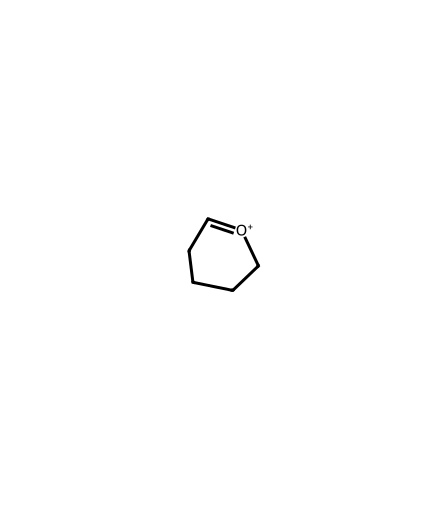 C1=[O+]CCCC1